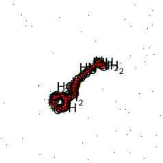 CO[C@H]1C[C@@H]2CC[C@@H](C)[C@@](O)(O2)C(=O)C(=O)N2CCCC[C@H]2C(=O)O[C@H]([C@H](N)C[C@@H]2CC[C@@H](OCc3cccc(-c4cnc(N5CCN(Cc6cn(CCOCCOCCOCCOCCOCCC(=O)NCCCCn7nc(-c8ccc9oc(N)nc9c8)c8c(N)ncnc87)nn6)C(CO)C5)nc4)c3)[C@H](OC)C2)CC(=O)[C@H](C)/C=C(\C)[C@@H](O)[C@@H](OC)C(=O)[C@H](C)C[C@H](C)/C=C/C=C/C=C/1C